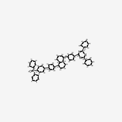 O=P(c1ccccc1)(c1ccccc1)c1ccc(-c2ccc(-c3cccc4c(-c5ccc(-c6nc(-c7ccccc7)nc(-c7ccccc7)n6)cc5)cccc34)cc2)cc1